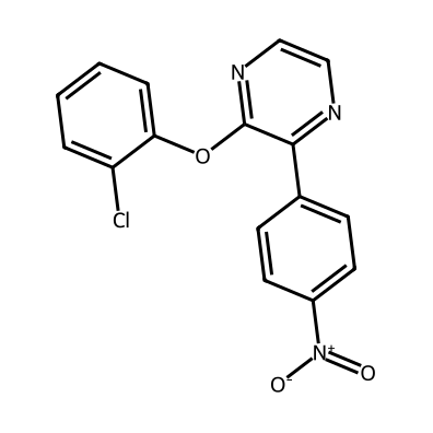 O=[N+]([O-])c1ccc(-c2nccnc2Oc2ccccc2Cl)cc1